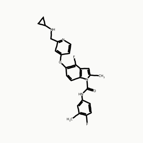 Cc1cc(NC(=O)n2c(C)cc3c(F)c(Oc4ccnc(CNC5CC5)c4)ccc32)ccc1F